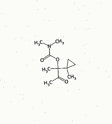 CC(=O)C(C)(OC(=O)N(C)C)C1(C)CC1